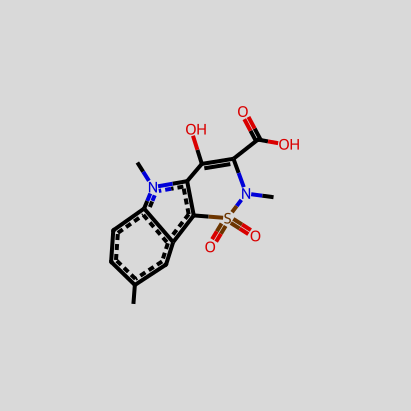 Cc1ccc2c(c1)c1c(n2C)C(O)=C(C(=O)O)N(C)S1(=O)=O